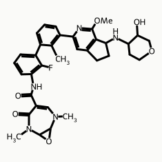 COc1nc(-c2cccc(-c3cccc(NC(=O)C4=CN(C)C5OC5N(C)C4=O)c3F)c2C)cc2c1C(NC1CCOCC1O)CC2